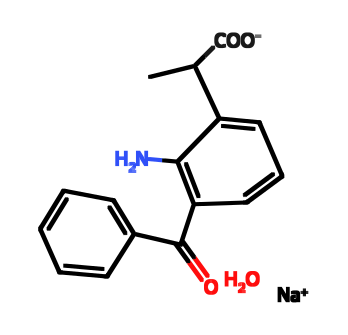 CC(C(=O)[O-])c1cccc(C(=O)c2ccccc2)c1N.O.[Na+]